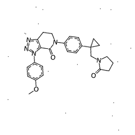 COc1ccc(-n2nnc3c2C(=O)N(c2ccc(C4(CN5CCCC5=O)CC4)cc2)CC3)cc1